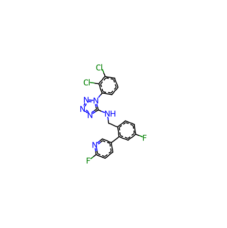 Fc1ccc(CNc2nnnn2-c2cccc(Cl)c2Cl)c(-c2ccc(F)nc2)c1